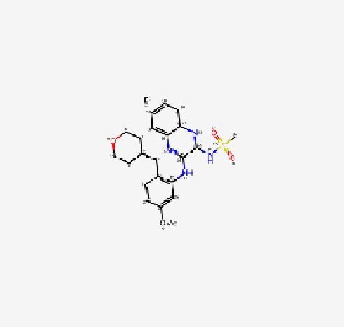 COc1ccc(CC2CCOCC2)c(Nc2nc3ccccc3nc2NS(C)(=O)=O)c1.[K]